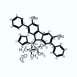 CC(C)(C)c1cc2c(cc1-c1ccccc1)[CH]([Zr+2]1([C]3=CC=CC3)[Si](C)(C)[Si]1(C)C)c1cc(-c3ccccc3)c(C(C)(C)C)cc1-2.[Cl-].[Cl-]